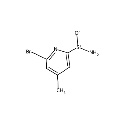 Cc1cc(Br)nc([S+](N)[O-])c1